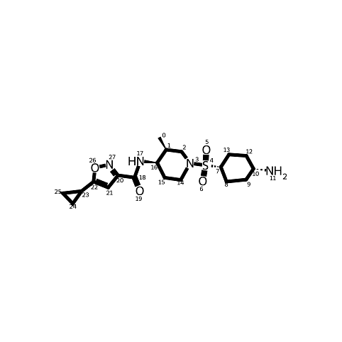 C[C@H]1CN(S(=O)(=O)[C@H]2CC[C@@H](N)CC2)CC[C@H]1NC(=O)c1cc(C2CC2)on1